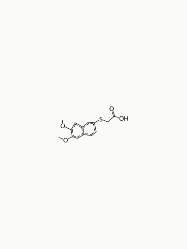 COc1cc2ccc(SCC(=O)O)cc2cc1OC